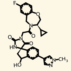 Cn1cc(-c2ccc3c(c2)C(O)C[C@]32NC(=O)N(CC(=O)N3Cc4cc(F)ccc4OC[C@H]3C3CC3)C2=O)cn1